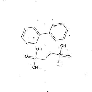 O=P(O)(O)CCP(=O)(O)O.c1ccc(-c2ccccc2)cc1